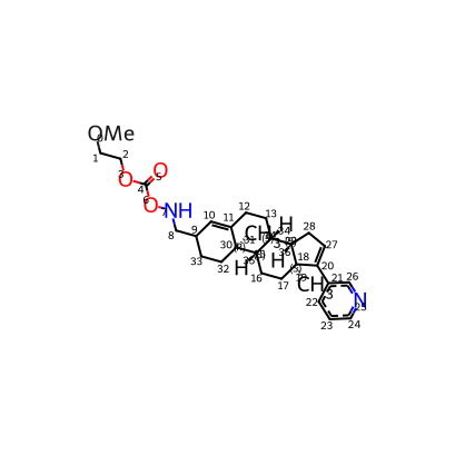 COCCOC(=O)ONCC1C=C2CC[C@H]3[C@H](CC[C@]4(C)C(c5cccnc5)=CC[C@@H]34)[C@@]2(C)CC1